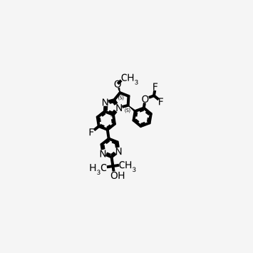 CO[C@H]1C[C@@H](c2ccccc2OC(F)F)n2c1nc1cc(F)c(-c3cnc(C(C)(C)O)nc3)cc12